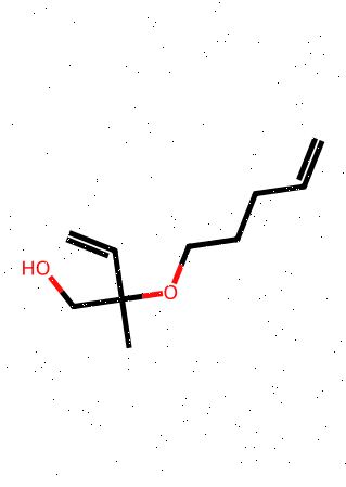 C=CCCCOC(C)(C=C)CO